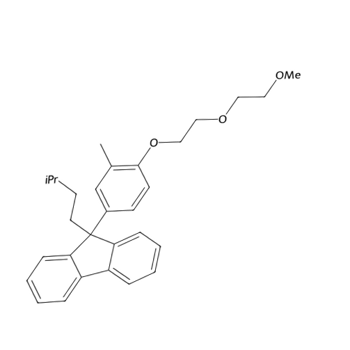 COCCOCCOc1ccc(C2(CCC(C)C)c3ccccc3-c3ccccc32)cc1C